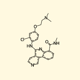 CNC(=O)c1cccc2c1nc(Nc1ccc(OCCN(C)C)cc1Cl)c1ccncc12